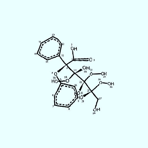 O=C(O)[C@@](Oc1ccccc1)(c1ccccc1)[C@@](O)(OO)[C@](O)(OO)[C@@](O)(CO)OO